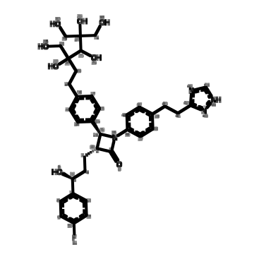 O=C1[C@H](CC[C@H](O)c2ccc(F)cc2)[C@@H](c2ccc(CCC(O)(CO)C(O)C(O)(CO)CO)cc2)N1c1ccc(CCc2nc[nH]n2)cc1